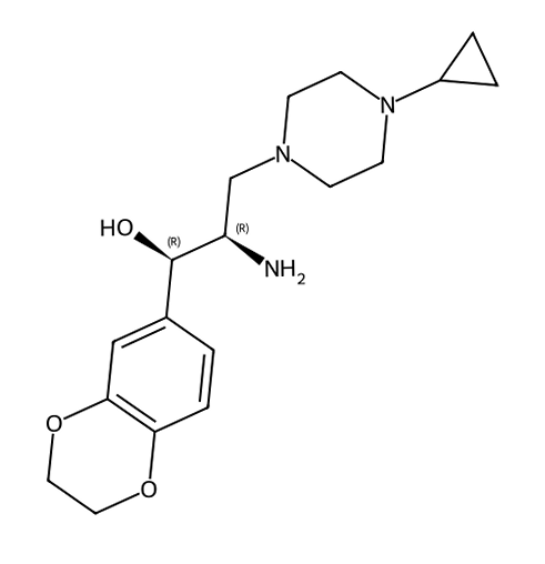 N[C@H](CN1CCN(C2CC2)CC1)[C@H](O)c1ccc2c(c1)OCCO2